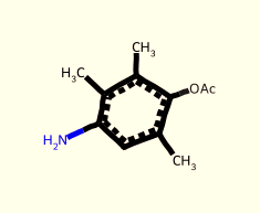 CC(=O)Oc1c(C)cc(N)c(C)c1C